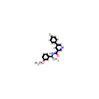 COc1cccc([C@H](C)NC(=O)c2cncc(-c3ccc(F)cc3)c2)c1